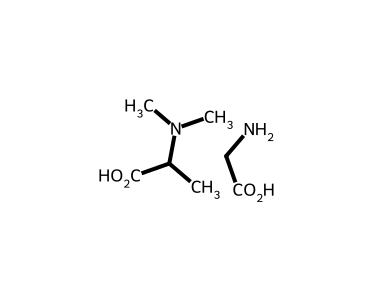 CC(C(=O)O)N(C)C.NCC(=O)O